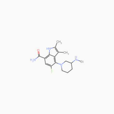 CCNC1CCCN(c2c(F)cc(C(N)=O)c3[nH]c(C)c(C)c23)C1